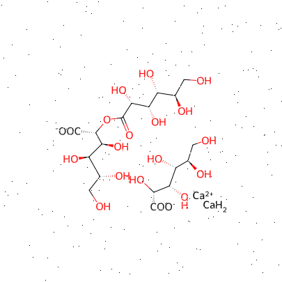 O=C(O[C@@H](C(=O)[O-])[C@@H](O)[C@H](O)[C@H](O)CO)[C@H](O)[C@@H](O)[C@H](O)[C@H](O)CO.O=C([O-])[C@H](O)[C@@H](O)[C@H](O)[C@H](O)CO.[Ca+2].[CaH2]